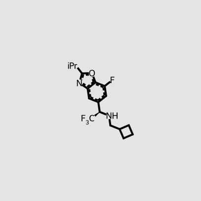 CC(C)c1nc2cc([C@@H](NCC3CCC3)C(F)(F)F)cc(F)c2o1